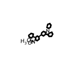 CS1(=O)=Nc2ccc(-c3ccc4c(c3)c3ccccc3n4-c3ccccc3)cc2-c2ccccc21